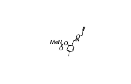 C#CCON=Cc1ccc(C)cc1OC(=O)NC